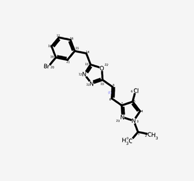 CC(C)n1cc(Cl)c(/C=C/c2nnc(Cc3cccc(Br)c3)o2)n1